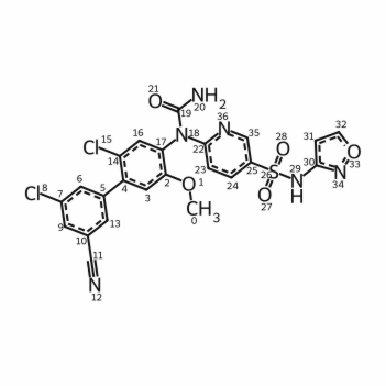 COc1cc(-c2cc(Cl)cc(C#N)c2)c(Cl)cc1N(C(N)=O)c1ccc(S(=O)(=O)Nc2ccon2)cn1